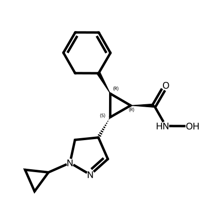 O=C(NO)[C@@H]1[C@H](C2C=CC=CC2)[C@H]1C1C=NN(C2CC2)C1